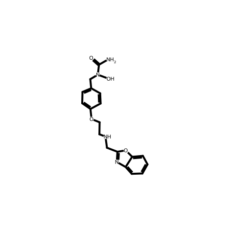 NC(=O)N(O)Cc1ccc(OCCNCc2nc3ccccc3o2)cc1